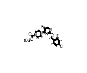 CC(C)(C)OC(=O)N1CCN(c2nc(OCc3ccc(Cl)cc3F)ncc2F)CC1